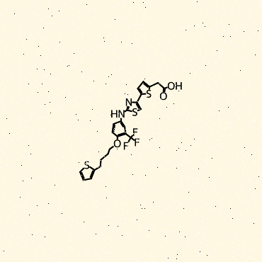 O=C(O)Cc1ccc(-c2csc(Nc3ccc(OCCCCc4cccs4)c(C(F)(F)F)c3)n2)s1